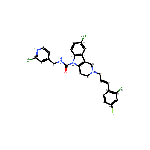 O=C(NCc1ccnc(Cl)c1)n1c2c(c3cc(Cl)ccc31)CN(CC=Cc1ccc(F)cc1Cl)CC2